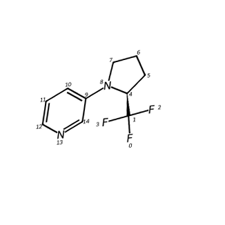 FC(F)(F)[C@@H]1CCCN1c1cccnc1